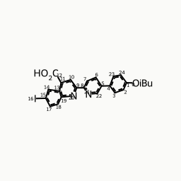 CC(C)COc1ccc(-c2ccc(-c3cc(C(=O)O)c4cc(I)ccc4n3)nc2)cc1